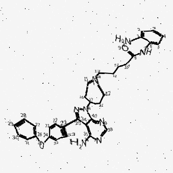 Nc1ccccc1NC(=O)CCCCN1CCC(n2nc(-c3ccc(Oc4ccccc4)cc3)c3c(N)ncnc32)CC1